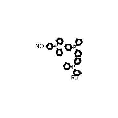 CC#N.[Ru].c1ccc(P(c2ccccc2)c2ccccc2)cc1.c1ccc(P(c2ccccc2)c2ccccc2)cc1.c1ccc(P(c2ccccc2)c2ccccc2)cc1